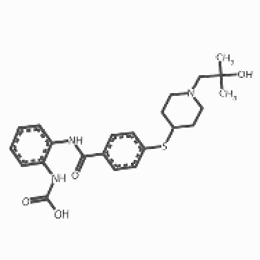 CC(C)(O)CN1CCC(Sc2ccc(C(=O)Nc3ccccc3NC(=O)O)cc2)CC1